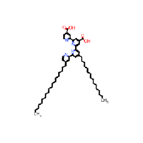 CCCCCCCCCCCCCCCCCCCc1ccnc(-c2cc(CCCCCCCCCCCCCCCC)cc(-c3cc(C(=O)O)cc(-c4cc(C(=O)O)ccn4)n3)n2)c1